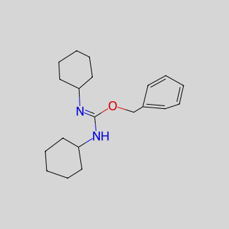 c1ccc(CO/C(=N\C2CCCCC2)NC2CCCCC2)cc1